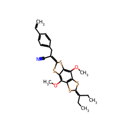 C=Cc1ccc(CC(C#N)=C2Sc3c(OC)c4c(c(OC)c3S2)SC(=C(CC)CC)S4)cc1